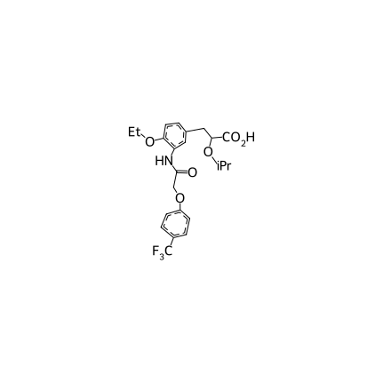 CCOc1ccc(CC(OC(C)C)C(=O)O)cc1NC(=O)COc1ccc(C(F)(F)F)cc1